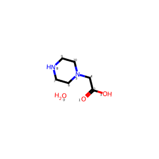 O.O=C(O)CN1CCNCC1